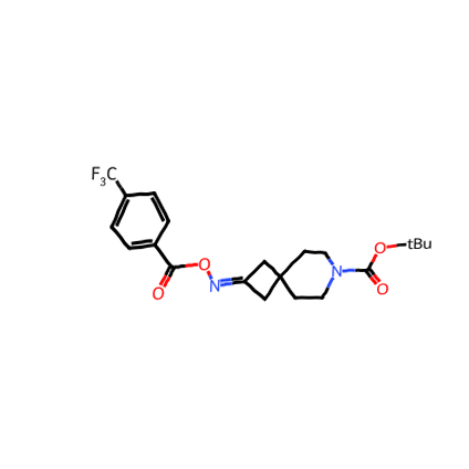 CC(C)(C)OC(=O)N1CCC2(CC1)CC(=NOC(=O)c1ccc(C(F)(F)F)cc1)C2